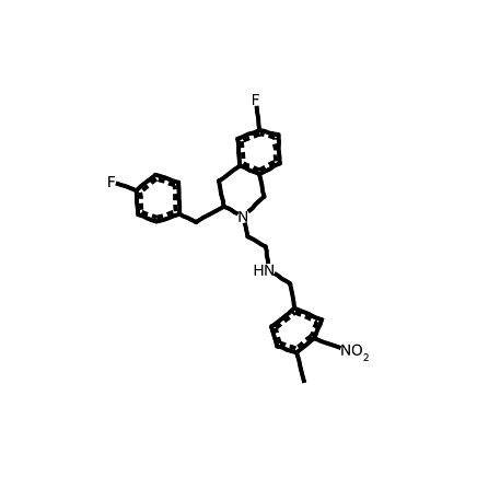 Cc1ccc(CNCCN2Cc3ccc(F)cc3CC2Cc2ccc(F)cc2)cc1[N+](=O)[O-]